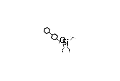 CCCC[Si](CCCC)(CCCC)O[C@@H](C)c1ccc(-c2ccccc2)cc1